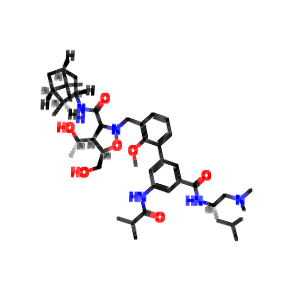 COc1c(CN2O[C@@H](CO)[C@@H]([C@H](C)O)C2C(=O)N[C@H]2C[C@H]3C[C@@H]([C@@H]2C)C3(C)C)cccc1-c1cc(NC(=O)C(C)C)cc(C(=O)N[C@@H](CC(C)C)CN(C)C)c1